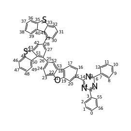 c1ccc(-c2nc(-c3ccccc3)nc(-c3ccc4c(c3)oc3ccc(-c5cc(-c6cccc7sc8ccccc8c67)cc6sc7ccccc7c56)cc34)n2)cc1